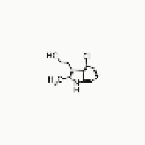 Cc1[nH]c2cccc(Cl)c2c1CCO